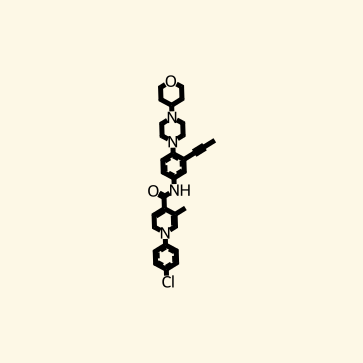 CC#Cc1cc(NC(=O)C2=CCN(c3ccc(Cl)cc3)C=C2C)ccc1N1CCN(C2CCOCC2)CC1